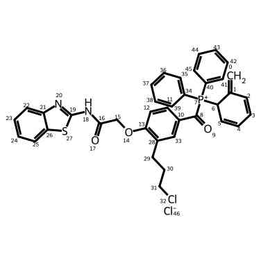 C=C1C=CC=CC1[P+](C(=O)c1ccc(OCC(=O)Nc2nc3ccccc3s2)c(CCCCl)c1)(c1ccccc1)c1ccccc1.[Cl-]